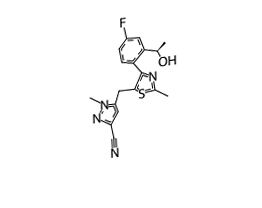 Cc1nc(-c2ccc(F)cc2[C@@H](C)O)c(Cc2cc(C#N)nn2C)s1